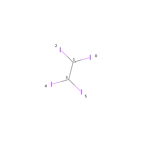 I[C](I)C(I)I